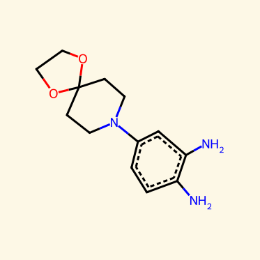 Nc1ccc(N2CCC3(CC2)OCCO3)cc1N